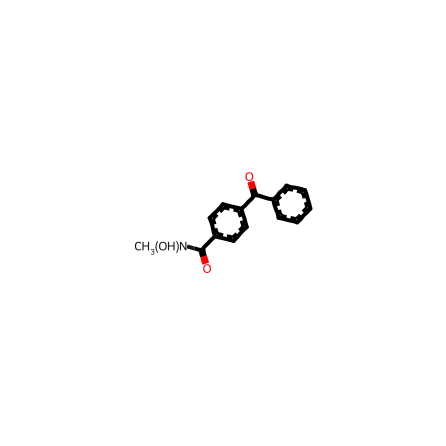 CN(O)C(=O)c1ccc(C(=O)c2ccccc2)cc1